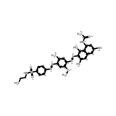 CCCNS(=O)(=O)c1ccc(/N=N/c2cc(OC)c(/N=N/c3c(S)cc4cc(S)cc(NC(C)=O)c4c3O)cc2C)cc1